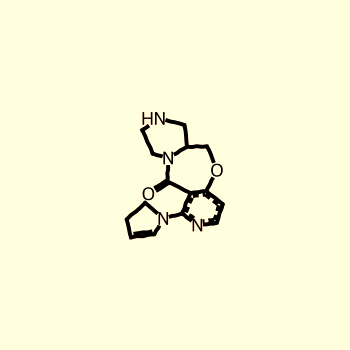 O=C1c2c(ccnc2N2C=CCC2)OCC2CNCCN12